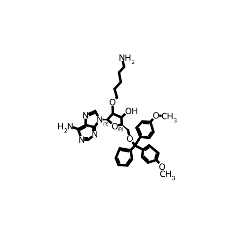 COc1ccc(C(OC[C@H]2O[C@@H](n3cnc4c(N)ncnc43)C(OCCCCCN)C2O)(c2ccccc2)c2ccc(OC)cc2)cc1